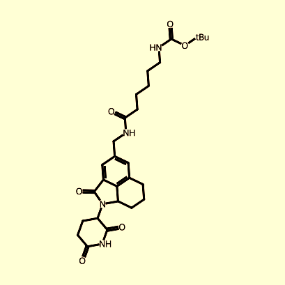 CC(C)(C)OC(=O)NCCCCCC(=O)NCc1cc2c3c(c1)C(=O)N(C1CCC(=O)NC1=O)C3CCC2